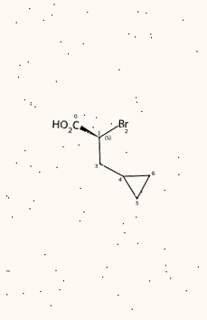 O=C(O)[C@@H](Br)CC1CC1